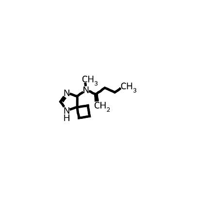 C=C(CCC)N(C)C1N=CNC12CCC2